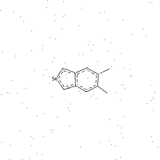 Cc1cc2c[se]cc2cc1C